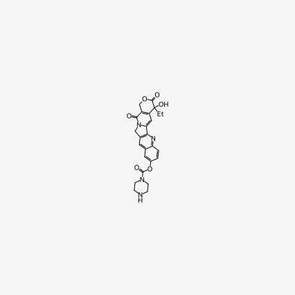 CCC1(O)C(=O)OCc2c1cc1n(c2=O)Cc2cc3cc(OC(=O)N4CCNCC4)ccc3nc2-1